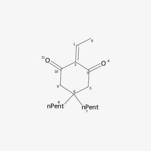 C[C]=C1C(=O)CC(CCCCC)(CCCCC)CC1=O